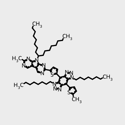 CCCCCCCCC(CCCCCCCC)n1c2nc(C)ncc2c2cnc(-c3ccc(-c4c5nnn(CCCCCCCC)c5c(-c5ccc(C)s5)c5nnn(CCCCCCCC)c45)s3)nc21